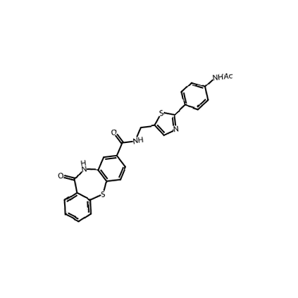 CC(=O)Nc1ccc(-c2ncc(CNC(=O)c3ccc4c(c3)NC(=O)c3ccccc3S4)s2)cc1